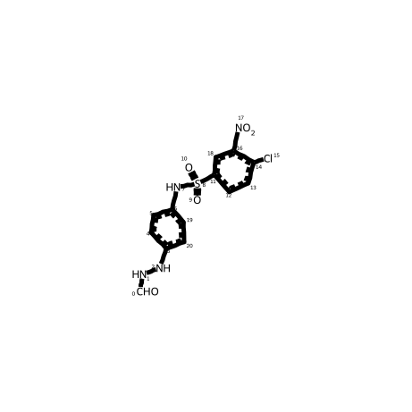 O=CNNc1ccc(NS(=O)(=O)c2ccc(Cl)c([N+](=O)[O-])c2)cc1